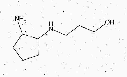 NC1CCCC1NCCCO